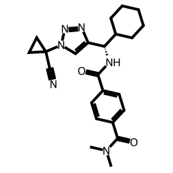 CN(C)C(=O)c1ccc(C(=O)N[C@H](c2cn(C3(C#N)CC3)nn2)C2CCCCC2)cc1